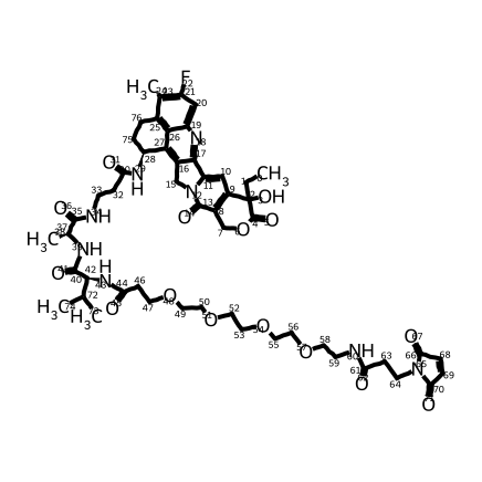 CCC1(O)C(=O)OCc2c1cc1n(c2=O)Cc2c-1nc1cc(F)c(C)c3c1c2[C@@H](NC(=O)CCNC(=O)[C@H](C)NC(=O)[C@@H](NC(=O)CCOCCOCCOCCOCCNC(=O)CCN1C(=O)C=CC1=O)C(C)C)CC3